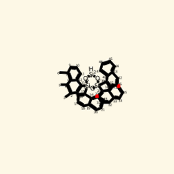 Cc1c(C)c(C)c2c(C)cccc2c1[Si]1(c2cccc3ccccc23)O[SiH2]O[Si](c2cccc3ccccc23)(c2cccc3ccccc23)O1